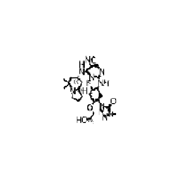 C[C@H](O)COc1cc(F)c(Nc2ncc(C#N)c(N[C@@H]3C[C@H]4CCCN4C(C)(C)C3)n2)cc1-n1nnn(C)c1=O